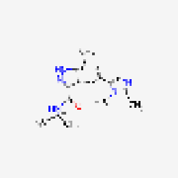 Cc1cc(-c2cnc(C)n2C)cc2c(C(=O)N[C@@H](C)C(F)(F)F)n[nH]c12